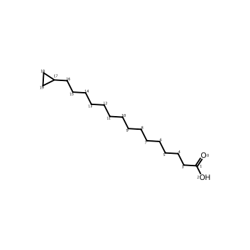 O=C(O)CCCCCCCCCCCCCCC1CC1